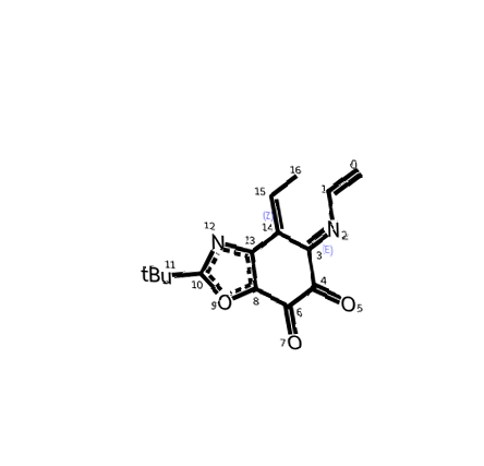 C=C/N=C1/C(=O)C(=O)c2oc(C(C)(C)C)nc2/C1=C/C